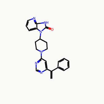 C=C(c1ccccc1)c1cc(N2CCC(n3c(=O)[nH]c4ncccc43)CC2)ncn1